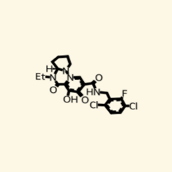 CCN1C(=O)c2c(O)c(=O)c(C(=O)NCc3c(Cl)ccc(Cl)c3F)cn2N2CCCC[C@@H]12